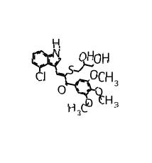 COc1cc(C(=O)/C(=C/c2c[nH]c3cccc(Cl)c23)SCC(O)CO)cc(OC)c1OC